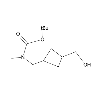 CN(CC1CC(CO)C1)C(=O)OC(C)(C)C